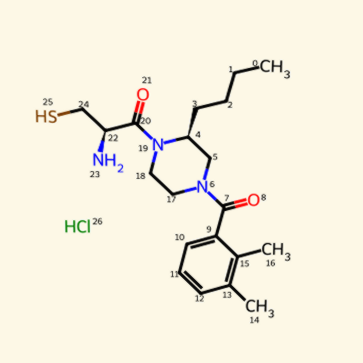 CCCC[C@H]1CN(C(=O)c2cccc(C)c2C)CCN1C(=O)[C@@H](N)CS.Cl